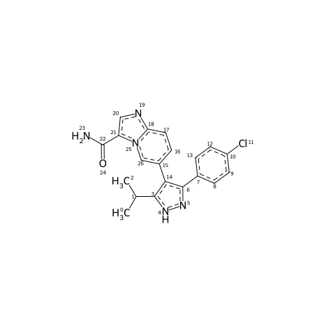 CC(C)c1[nH]nc(-c2ccc(Cl)cc2)c1-c1ccc2ncc(C(N)=O)n2c1